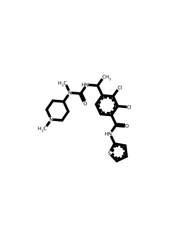 CC(NC(=O)N(C)C1CCN(C)CC1)c1ccc(C(=O)Nc2cccs2)c(Cl)c1Cl